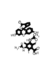 CC(=O)Nc1c(I)c(NC(C)=O)c(I)c(C(=O)O)c1I.O=C1OC2(c3ccc(O)cc3Oc3cc(O)ccc32)c2ccccc21